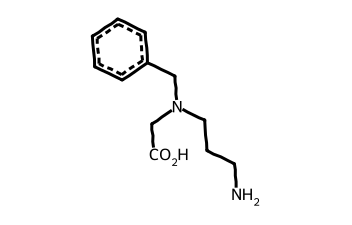 NCCCN(CC(=O)O)Cc1ccccc1